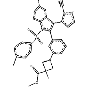 COC(=O)C1(C)CN(c2cccc(-c3c(-c4ccsc4C#N)c4cc(F)ccc4n3S(=O)(=O)c3ccc(C)cc3)c2)C1